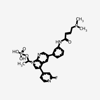 CC(OP(=O)(O)O)n1cc(-c2ccnc(F)c2)c2cc(-c3cccc(NC(=O)C=CCN(C)C)c3)cnc21